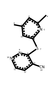 Cc1cc(C)nc(Sc2nnccc2C#N)c1